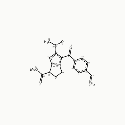 C=Cc1ccc(C(=O)c2c([S+](C)[O-])cc3n2CCC3C(=O)OC)cc1